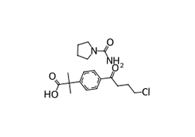 CC(C)(C(=O)O)c1ccc(C(=O)CCCCl)cc1.NC(=O)N1CCCC1